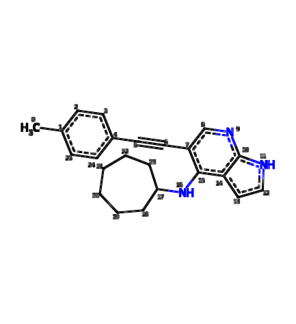 Cc1ccc(C#Cc2cnc3[nH]ccc3c2NC2CCCCCC2)cc1